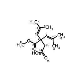 COC(=O)C(C=C(C)C)(C=C(C)C)CC(=O)O